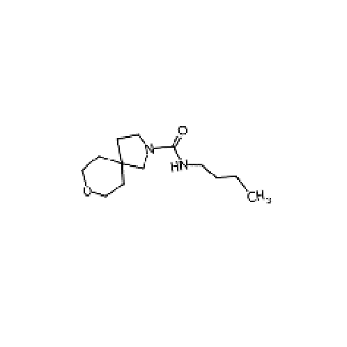 CCCCNC(=O)N1CCC2(CCOCC2)C1